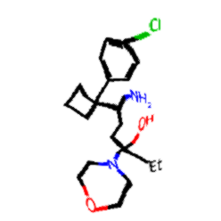 CCC(O)(CC(N)C1(c2ccc(Cl)cc2)CCC1)N1CCOCC1